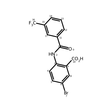 O=C(Nc1ccc(Br)cc1C(=O)O)c1cccc(C(F)(F)F)c1